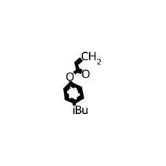 C=CC(=O)Oc1ccc(C(C)CC)cc1